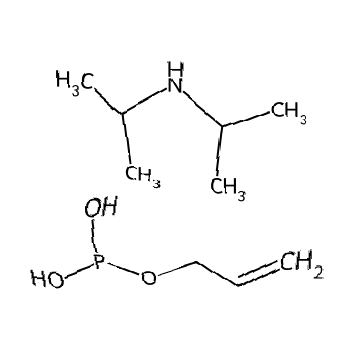 C=CCOP(O)O.CC(C)NC(C)C